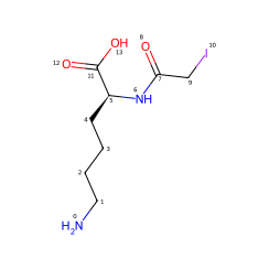 NCCCC[C@H](NC(=O)CI)C(=O)O